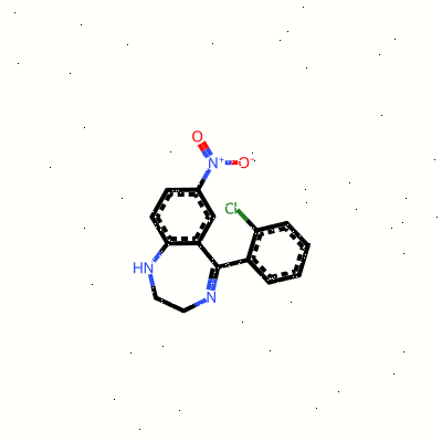 O=[N+]([O-])c1ccc2c(c1)C(c1ccccc1Cl)=NCCN2